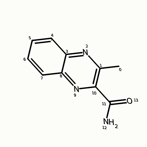 Cc1nc2[c]cccc2nc1C(N)=O